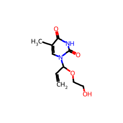 C=CC(OCCO)n1cc(C)c(=O)[nH]c1=O